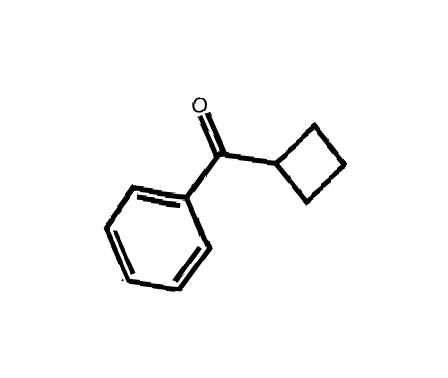 O=C(c1cc[c]cc1)C1CCC1